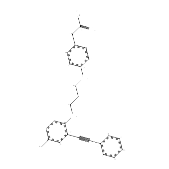 Cc1ccc(OCCCOc2ccc(CC(=O)O)cc2)c(C#Cc2ccccc2)c1